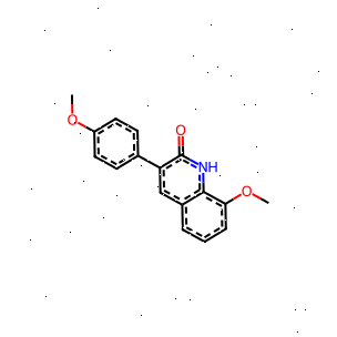 COc1ccc(-c2cc3cccc(OC)c3[nH]c2=O)cc1